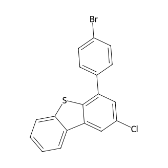 Clc1cc(-c2ccc(Br)cc2)c2sc3ccccc3c2c1